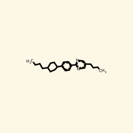 CCCCc1cnc(-c2ccc(C3CCC(CCCC)CC3)cc2)nc1